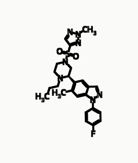 CCCN1CCN(S(=O)(=O)c2cnn(C)n2)C[C@H]1c1cc2cnn(-c3ccc(F)cc3)c2cc1C